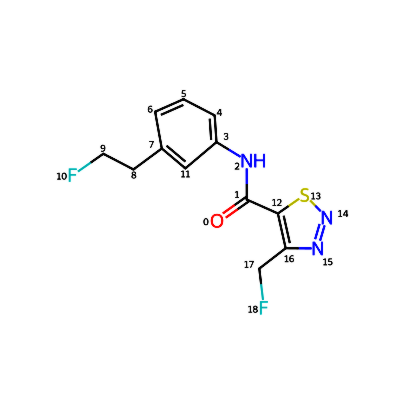 O=C(Nc1cccc(CCF)c1)c1snnc1CF